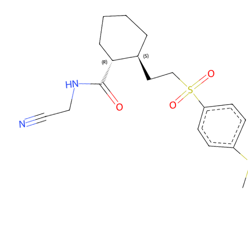 CSc1ccc(S(=O)(=O)CC[C@@H]2CCCC[C@H]2C(=O)NCC#N)cc1